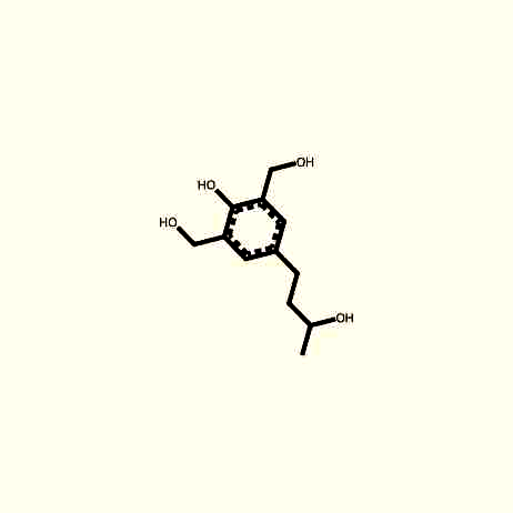 CC(O)CCc1cc(CO)c(O)c(CO)c1